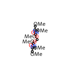 COC1=Nc2cc(OCc3cccc(COc4cc5c(cc4OC)C(=O)N4CC=C(c6ccc(OC)cc6)C[C@H]4C(OC)=N5)c3)c(OC)cc2C(=O)N2CC=C(c3ccc(OC)cc3)C[C@@H]12